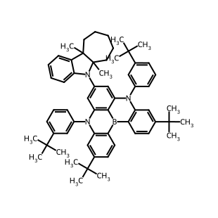 CC(C)(C)c1cccc(N2c3cc(C(C)(C)C)ccc3B3c4ccc(C(C)(C)C)cc4N(c4cccc(C(C)(C)C)c4)c4cc(N5c6ccccc6C6(C)CCCCCC56C)cc2c43)c1